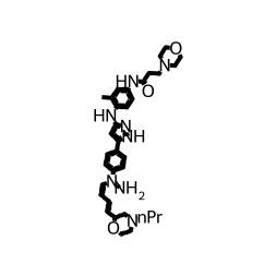 CCCN1CCOC(/C=C/C=C\N(N)c2ccc(-c3cc(Nc4ccc(NC(=O)CCN5CCOCC5)cc4C)n[nH]3)cc2)C1